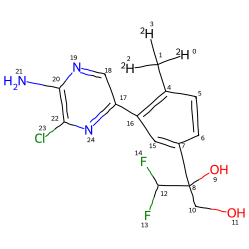 [2H]C([2H])([2H])c1ccc(C(O)(CO)C(F)F)cc1-c1cnc(N)c(Cl)n1